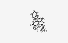 COC(=O)CC(Nc1nc2ccccc2[nH]1)c1ccc(F)c(C)c1